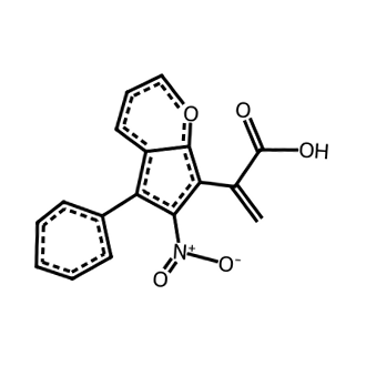 C=C(C(=O)O)c1c2occcc-2c(-c2ccccc2)c1[N+](=O)[O-]